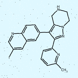 Cc1cccc(-c2nn3c(c2-c2ccc4ncc(I)cc4c2)CNCC3)n1